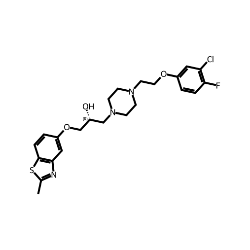 Cc1nc2cc(OC[C@H](O)CN3CCN(CCOc4ccc(F)c(Cl)c4)CC3)ccc2s1